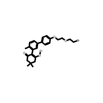 CCOC1=C(c2cc(-c3ccc(OCCOCCBr)cc3)ccc2C)C(=O)CC(C)(C)C1